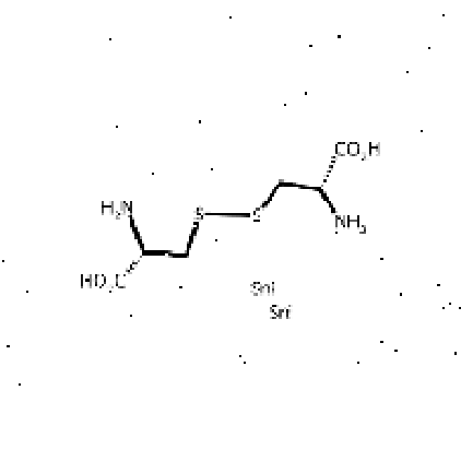 N[C@H](CSSC[C@@H](N)C(=O)O)C(=O)O.[Sn].[Sn]